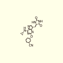 N#Cc1cccc(Oc2nc(NC3CC3)n3ncc(/C=C4\NC(=O)NC4=O)c3n2)c1